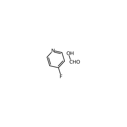 Fc1ccncc1.O=CO